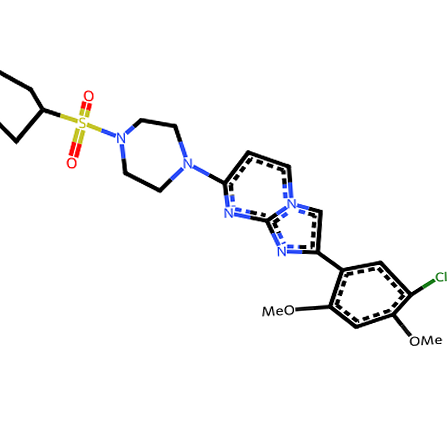 COc1cc(OC)c(-c2cn3ccc(N4CCN(S(=O)(=O)C5CCCC5)CC4)nc3n2)cc1Cl